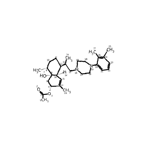 CC(=O)O[C@@H]1[CH][C@@]2(O)[C@H](C)CC[C@@H](C(C)CN3CCN(c4cccc(C)c4C)CC3)[C@H]2C=C1C